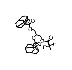 CC(F)(F)C(=O)OCC(COC(=O)C12CC3CC(C1)C(=O)C(C3)C2)OC(=O)C12CC3CC(C1)C(=O)C(C3)C2